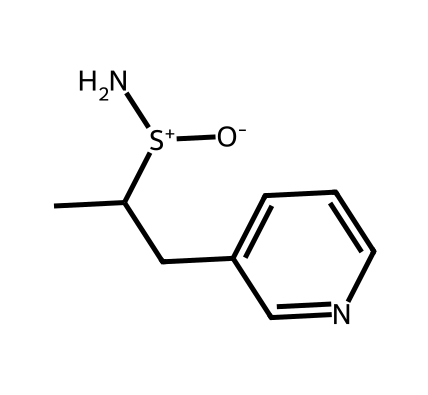 CC(Cc1cccnc1)[S+](N)[O-]